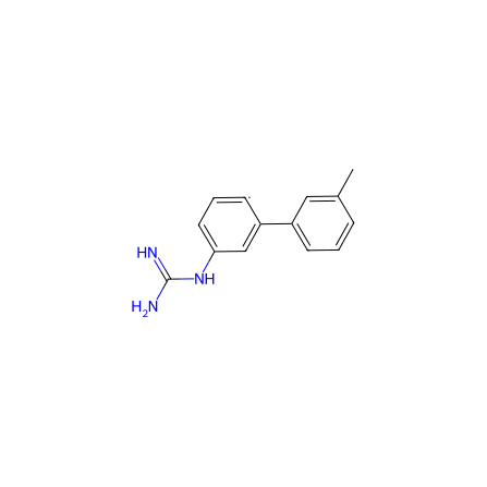 Cc1cccc(-c2[c]ccc(NC(=N)N)c2)c1